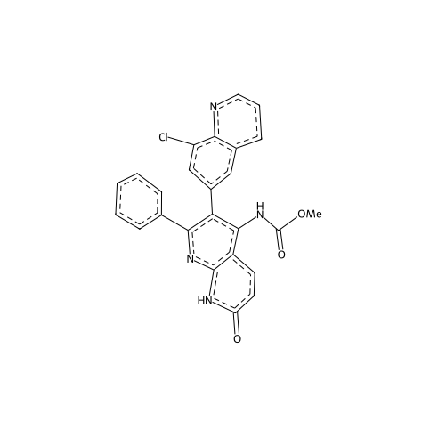 COC(=O)Nc1c(-c2cc(Cl)c3ncccc3c2)c(-c2ccccc2)nc2[nH]c(=O)ccc12